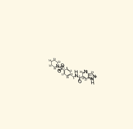 O=C(NCc1ccc(S(=O)(=O)N2CCCCC2)cc1)c1cnc2cn[nH]c2c1